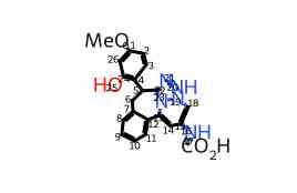 COc1ccc(C2Cc3ccccc3C3=CC(NC(=O)O)=CN4NN=C2N34)c(O)c1